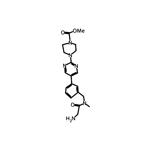 COC(=O)N1CCN(c2ncc(-c3cccc(CN(C)C(=O)CN)c3)cn2)CC1